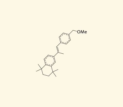 COCc1ccc(C=C(C)c2ccc3c(c2)C(C)(C)CCC3(C)C)cc1